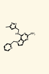 Cc1cc(CNc2nc(N)nc3ccn(Cc4ccccn4)c23)on1